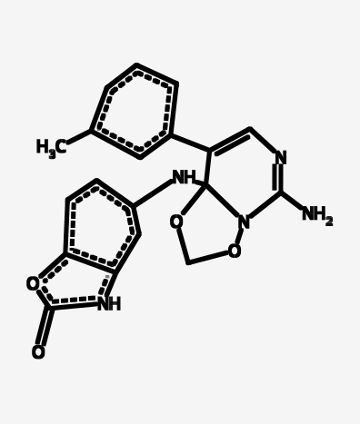 Cc1cccc(C2=CN=C(N)N3OCOC23Nc2ccc3oc(=O)[nH]c3c2)c1